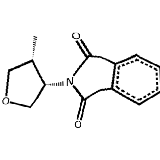 C[C@H]1COC[C@H]1N1C(=O)c2ccccc2C1=O